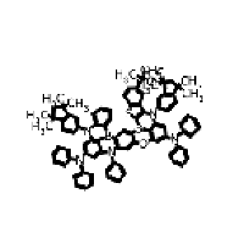 CC(C)(C)c1ccc2sc3c(c2c1)N(c1ccc2c(c1)C(C)(C)CC2(C)C)c1cc(N(c2ccccc2)c2ccccc2)cc2c1B3c1cc3c(cc1O2)N(c1ccccc1)c1cc(N(c2ccccc2)c2ccccc2)cc2c1B3c1ccccc1N2c1ccc2c(c1)C(C)(C)CC2(C)C